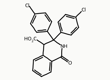 O=C1NC(c2ccc(Cl)cc2)(c2ccc(Cl)cc2)C(C(=O)O)c2ccccc21